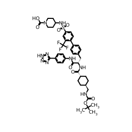 CC(C)(C)OC(=O)NC[C@H]1CC[C@H](C(=O)N[C@@H](Cc2ccc(-c3ccc(S(=O)(=O)NC4CCN(C(=O)O)CC4)cc3C(F)(F)F)cc2)C(=O)Nc2ccc(-c3nn[nH]n3)cc2)CC1